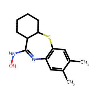 Cc1cc2c(cc1C)SC1CCCCC1C(NO)=N2